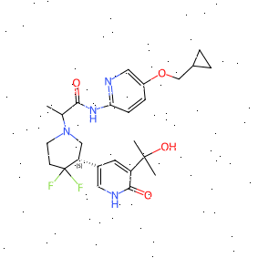 CC(C(=O)Nc1ccc(OCC2CC2)cn1)N1CCC(F)(F)[C@@H](c2c[nH]c(=O)c(C(C)(C)O)c2)C1